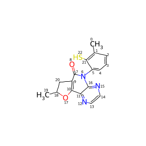 Cc1cccc(-n2c(=O)c3c(c4nccnc42)OC(C)C3)c1S